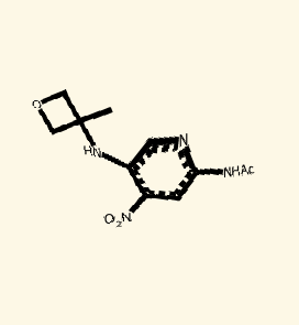 CC(=O)Nc1cc([N+](=O)[O-])c(NC2(C)COC2)cn1